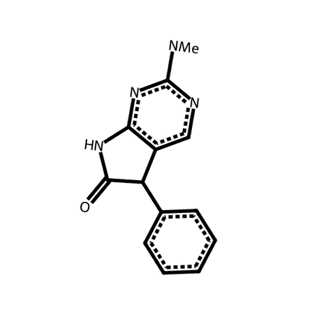 CNc1ncc2c(n1)NC(=O)C2c1ccccc1